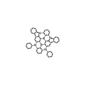 c1ccc(N2c3cccc4c3B3c5c2cc2c6ccccc6n6c2c5B2c5c-6cccc5-n5c6ccccc6c6cc(c3c2c65)N4c2ccccc2)cc1